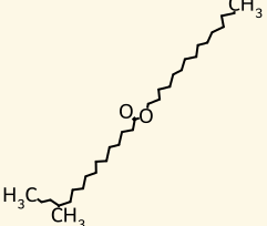 CCCCCCCCCCCCCCCOC(=O)CCCCCCCCCCCC(C)CCC